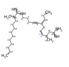 C=C(/C=C\CC(C#CCCCNC(=N)N(C)CCCCCCCCCC)=CCC)CC(=N)N